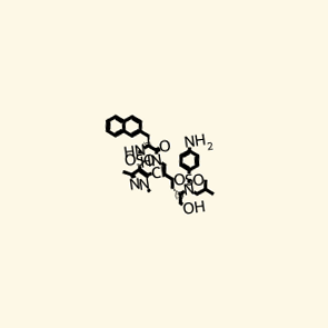 Cc1nn(C)c(Cl)c1S(=O)(=O)N[C@@H](Cc1ccc2ccccc2c1)C(=O)NCCCC[C@@H](CO)N(CC(C)C)S(=O)(=O)c1ccc(N)cc1